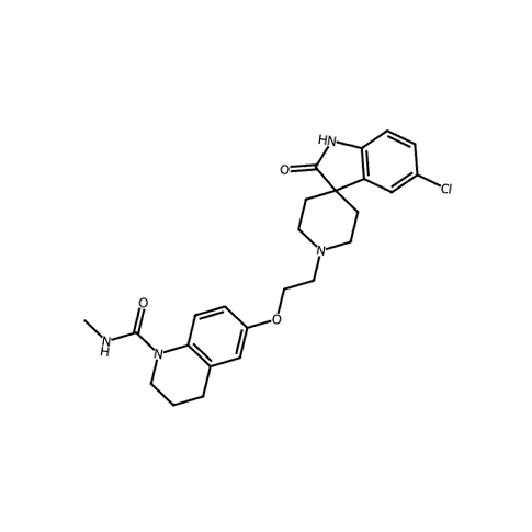 CNC(=O)N1CCCc2cc(OCCN3CCC4(CC3)C(=O)Nc3ccc(Cl)cc34)ccc21